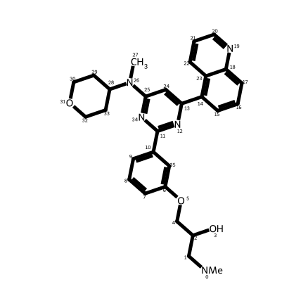 CNCC(O)COc1cccc(-c2nc(-c3cccc4ncccc34)cc(N(C)C3CCOCC3)n2)c1